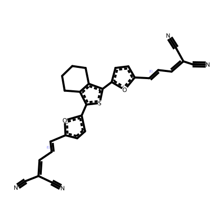 N#CC(C#N)=C/C=C/c1ccc(-c2sc(-c3ccc(/C=C/C=C(C#N)C#N)o3)c3c2CCCC3)o1